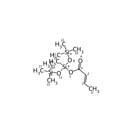 CC=CC(=O)O[Si](C)(O[Si](C)(C)C)O[Si](C)(C)C